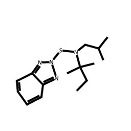 CCC(C)(C)N(CC(C)C)Sn1nc2ccccc2n1